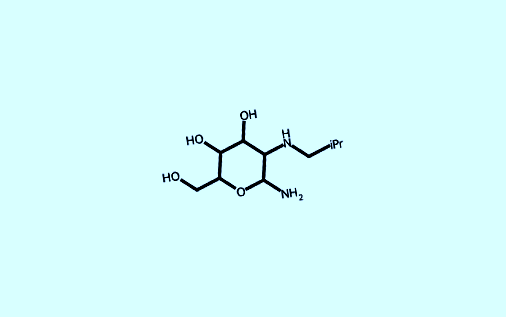 CC(C)CNC1C(N)OC(CO)C(O)C1O